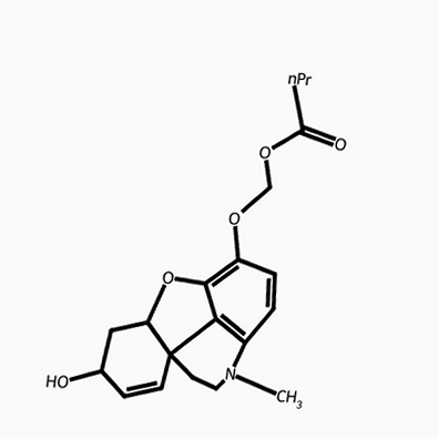 CCCC(=O)OCOc1ccc2c3c1OC1CC(O)C=CC31CCN2C